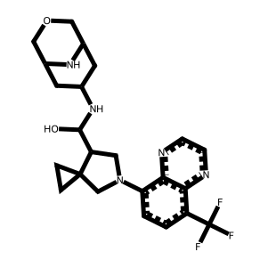 OC(NC1CC2COCC(C1)N2)C1CN(c2ccc(C(F)(F)F)c3nccnc23)CC12CC2